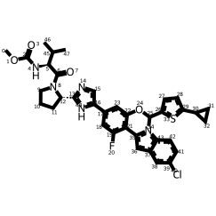 COC(=O)N[C@H](C(=O)N1CCC[C@H]1c1ncc(-c2cc(F)c3c(c2)OC(c2ccc(C4CC4)s2)n2c-3cc3cc(Cl)ccc32)[nH]1)C(C)C